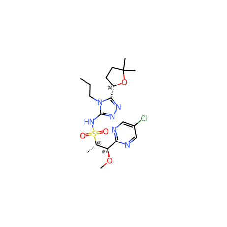 CCCn1c(NS(=O)(=O)[C@@H](C)[C@H](OC)c2ncc(Cl)cn2)nnc1[C@@H]1CCC(C)(C)O1